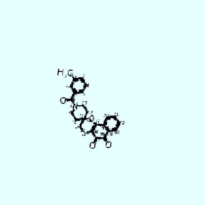 Cc1cccc(C(=O)N2CCC3(CC2)CSC2=C(O3)c3ccccc3C(=O)C2=O)c1